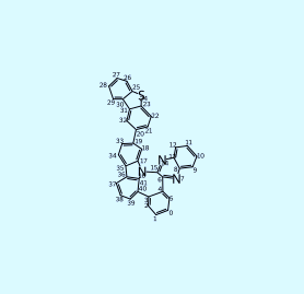 c1ccc2c(c1)-c1nc3ccccc3nc1-n1c3cc(-c4ccc5sc6ccccc6c5c4)ccc3c3cccc-2c31